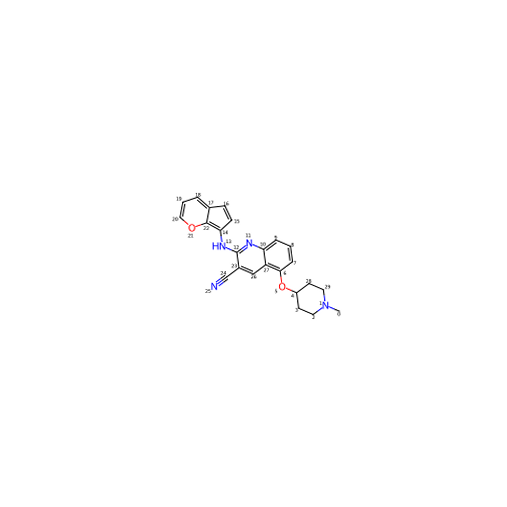 CN1CCC(Oc2cccc3nc(Nc4ccc5cccoc4-5)c(C#N)cc23)CC1